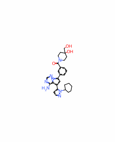 Nc1ncnn2c(-c3cccc(C(=O)N4CCC(O)(CO)CC4)c3)cc(-c3ccnn3C3CCCCC3)c12